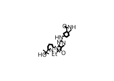 CCn1c(=O)c2cnc(Nc3ccc4c(c3)C(=O)NC4)nc2n1-c1cccc(C(C)(C)O)n1